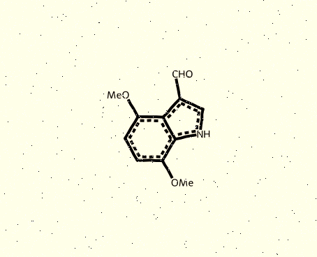 COc1ccc(OC)c2c(C=O)c[nH]c12